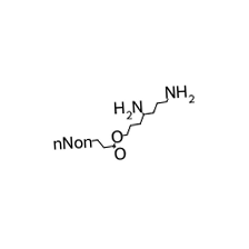 CCCCCCCCCCCC(=O)OCCCC(N)CCCN